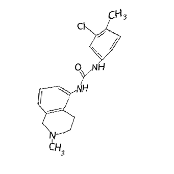 Cc1ccc(NC(=O)Nc2cccc3c2CCN(C)C3)cc1Cl